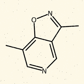 Cc1noc2c(C)cncc12